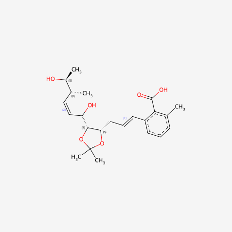 Cc1cccc(/C=C/C[C@@H]2OC(C)(C)O[C@@H]2C(O)/C=C\[C@@H](C)[C@H](C)O)c1C(=O)O